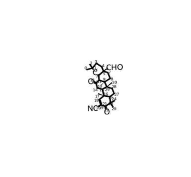 CC1(C)CC[C@]2(C=O)CC[C@]3(C)C(C(=O)CC4[C@@]5(C)C=C(C#N)C(=O)C(C)(C)C5CC[C@]43C)C2C1